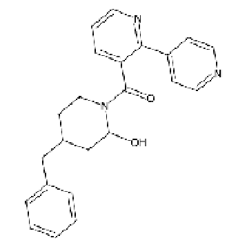 O=C(c1cccnc1-c1ccncc1)N1CCC(Cc2ccccc2)CC1O